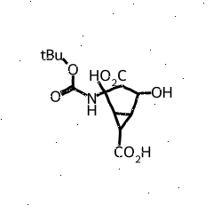 CC(C)(C)OC(=O)NC1(C(=O)O)CC(O)C2C(C(=O)O)C21